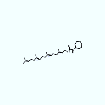 CC(C)=CCC/C(C)=C/CC/C(C)=C/CC/C(C)=C/COC(=O)NC1CCCCCC1